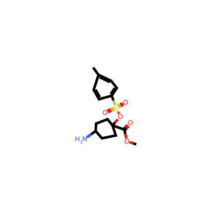 COC(=O)C1(OS(=O)(=O)c2ccc(C)cc2)CCC(N)CC1